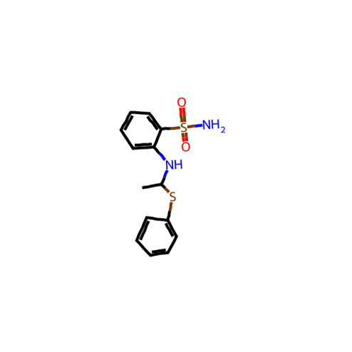 CC(Nc1ccccc1S(N)(=O)=O)Sc1ccccc1